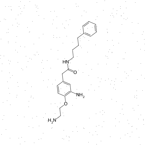 NCCOc1ccc(CC(=O)NCCCCc2ccccc2)cc1N